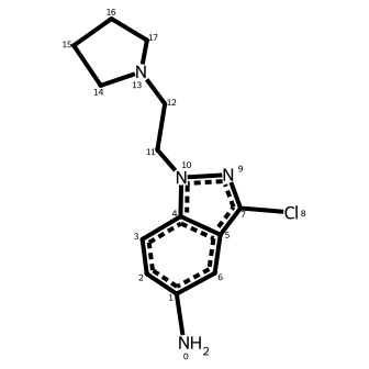 Nc1ccc2c(c1)c(Cl)nn2CCN1CCCC1